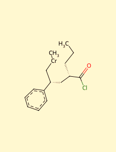 CCC[C@@H](C[C@@H]([CH2][Cr][CH3])c1ccccc1)C(=O)Cl